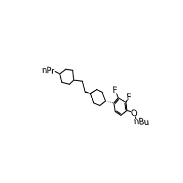 CCCCOc1ccc([C@H]2CC[C@H](CCC3CCC(CCC)CC3)CC2)c(F)c1F